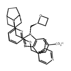 O=C(O)c1ccc2nc(CN3CC4CCC(C3)N4c3cccc(OCc4ccncc4F)n3)n(C[C@@H]3CCO3)c2c1